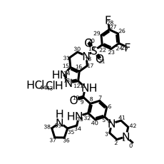 CN1CCN(c2ccc(C(=O)Nc3n[nH]c4c3CN(S(=O)(=O)c3cc(F)cc(F)c3)CC4)c(NCC3CCCN3)c2)CC1.Cl.Cl